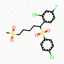 CS(=O)(=O)CCCCC(c1ccc(F)cc1Cl)S(=O)(=O)c1ccc(Cl)cc1